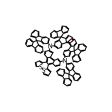 c1csc(-c2c(-c3cccs3)c3ccc(N(c4ccc5c(c4)C4(c6ccccc6-c6ccccc64)c4ccccc4-5)c4ccc5c(c4)C4(c6ccccc6-c6ccccc64)c4ccccc4-5)cc3c3cc(N(c4ccc5c(c4)C4(c6ccccc6-c6ccccc64)c4ccccc4-5)c4ccc5c(c4)C4(c6ccccc6-c6ccccc64)c4ccccc4-5)ccc23)c1